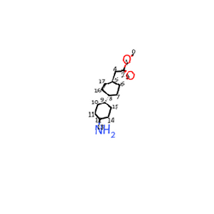 COC(=O)C[C@H]1CC[C@H](C2CCC(N)CC2)CC1